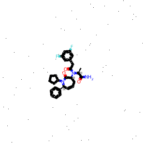 C[C@@H](C(N)=O)N(C(=O)Cc1cc(F)cc(F)c1)[C@H]1CC=C[C@@H](c2ccccc2)N(C2CCCC2)C1=O